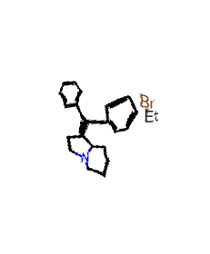 CCBr.c1ccc(C(=C2CCN3CCCCC23)c2ccccc2)cc1